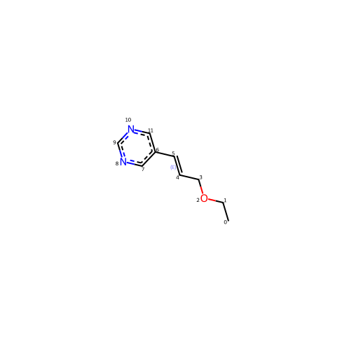 CCOC/C=C/c1cncnc1